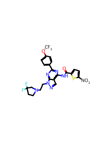 O=C(Nc1nc(-c2ccc(OC(F)(F)F)cc2)nc2c1cnn2CCN1CCC(F)(F)C1)c1ccc([N+](=O)[O-])s1